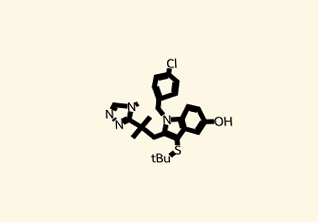 Cn1cnnc1C(C)(C)Cc1c(SC(C)(C)C)c2cc(O)ccc2n1Cc1ccc(Cl)cc1